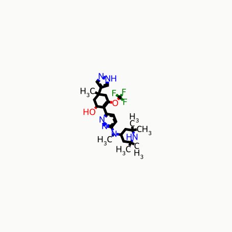 CN(c1ccc(C2=C(OC(F)(F)F)CC(C)(c3cn[nH]c3)CC2O)nn1)C1CC(C)(C)NC(C)(C)C1